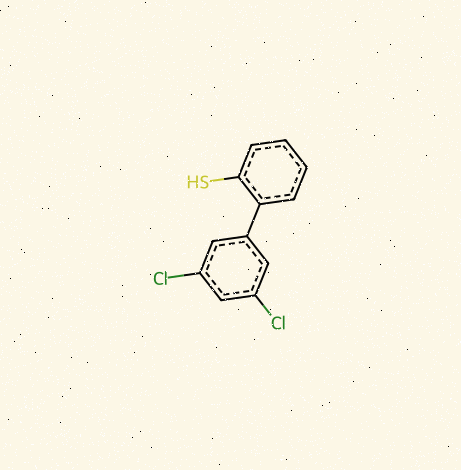 Sc1ccccc1-c1cc(Cl)cc(Cl)c1